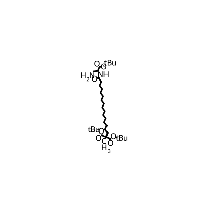 CC(C)(C)OC(=O)C(CN)NC(=O)CCCCCCCCCCCCCCCC(C)(C(=O)OC(C)(C)C)C(=O)OC(C)(C)C